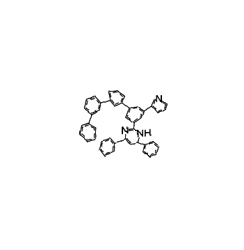 C1=C(c2ccccc2)N=C(c2cc(-c3cccnc3)cc(-c3cccc(-c4cccc(-c5ccccc5)c4)c3)c2)NC1c1ccccc1